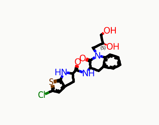 O=C(NC1Cc2ccccc2N(C[C@H](O)CO)C1=O)C1Cc2cc(Cl)sc2N1